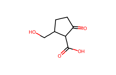 O=C(O)C1C(=O)CCC1CO